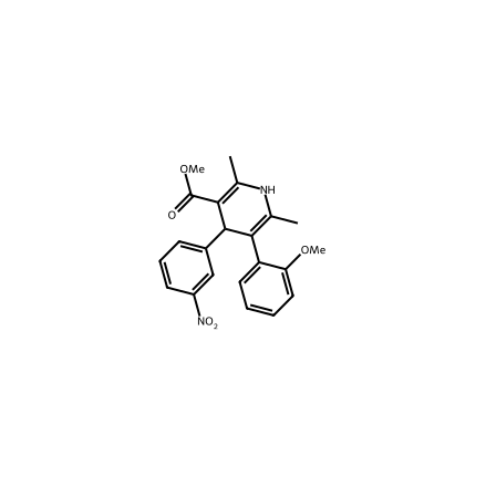 COC(=O)C1=C(C)NC(C)=C(c2ccccc2OC)C1c1cccc([N+](=O)[O-])c1